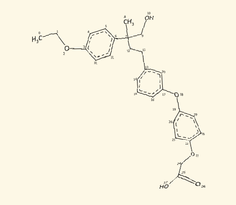 CCOc1ccc(C(C)(CO)CCc2cccc(Oc3ccc(OCC(=O)O)cc3)c2)cc1